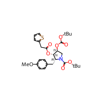 COc1ccc(C[C@@H]2[C@H](OC(=O)Cc3cccs3)[C@@H](OC(=O)OC(C)(C)C)CN2C(=O)OC(C)(C)C)cc1